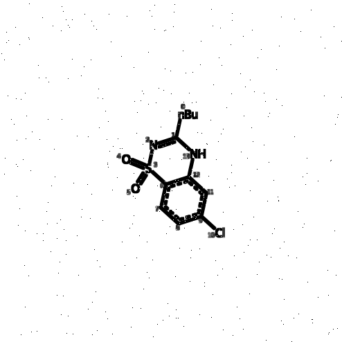 CCCCC1=NS(=O)(=O)c2ccc(Cl)cc2N1